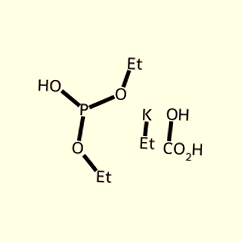 CCOP(O)OCC.C[CH2][K].O=C(O)O